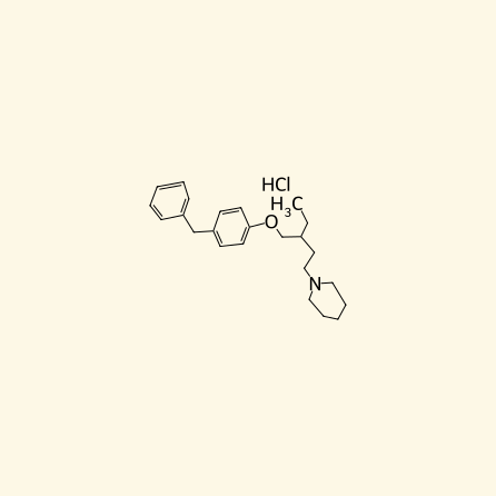 CCC(CCN1CCCCC1)COc1ccc(Cc2ccccc2)cc1.Cl